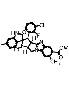 CCN1[C@H]2Cn3c(nc4cc(C(=O)OC)c(C)cc43)[C@H]2[C@H](c2cccc(Cl)c2F)[C@]12C(=O)Nc1cc(Cl)ccc12